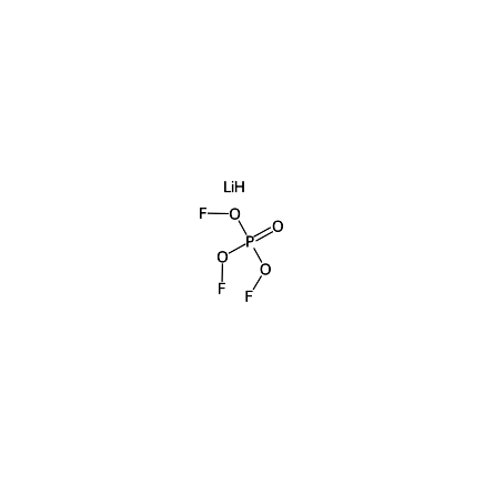 O=P(OF)(OF)OF.[LiH]